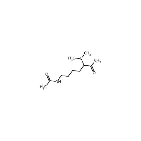 CC(=O)NCCCCC(C(C)=O)N(C)C